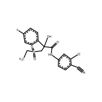 CCS(=O)(=O)CC(O)(C(=O)Nc1ccc(C#N)c(Cl)c1)c1ccc(F)cc1